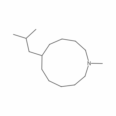 CC(C)CC1CCCCCN(C)CCCC1